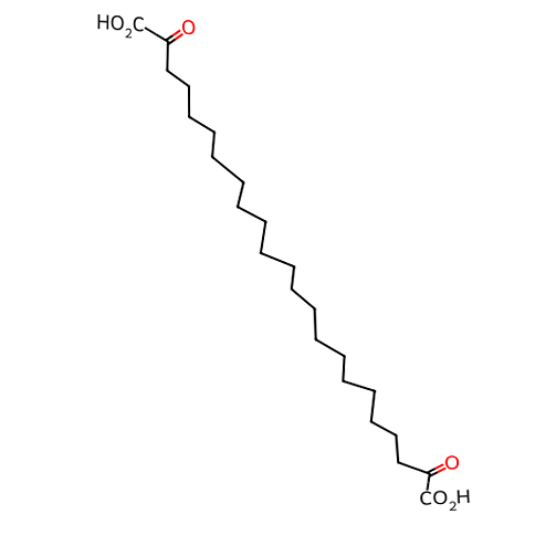 O=C(O)C(=O)CCCCCCCCCCCCCCCCCCCC(=O)C(=O)O